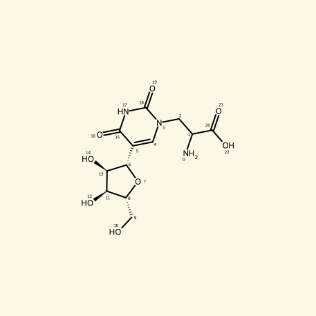 NC(Cn1cc([C@@H]2O[C@H](CO)[C@@H](O)[C@H]2O)c(=O)[nH]c1=O)C(=O)O